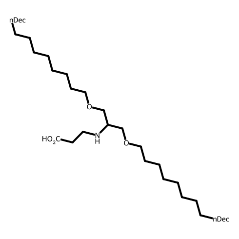 CCCCCCCCCCCCCCCCCCOCC(COCCCCCCCCCCCCCCCCCC)NCCC(=O)O